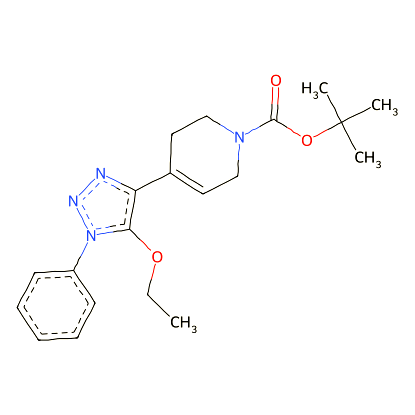 CCOc1c(C2=CCN(C(=O)OC(C)(C)C)CC2)nnn1-c1ccccc1